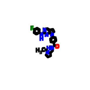 CCN1CCCC1CNC(=O)c1ccc(-n2ccc3cnc(Nc4ccc(F)cc4)nc32)cc1